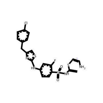 C=C(NS(=O)(=O)c1ccc(Nc2nc(Cc3ccc(Cl)cc3)cs2)cc1F)S/C=C\N